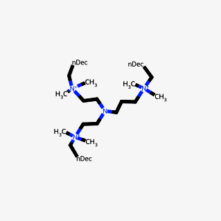 CCCCCCCCCCC[N+](C)(C)CCCN(CC[N+](C)(C)CCCCCCCCCCC)CC[N+](C)(C)CCCCCCCCCCC